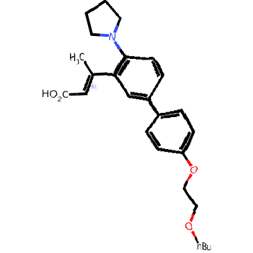 CCCCOCCOc1ccc(-c2ccc(N3CCCC3)c(/C(C)=C/C(=O)O)c2)cc1